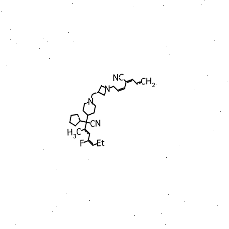 C=C/C=C(C#N)\C=C/CN1CC(CN2CCC(C(C#N)(/C(C)=C/C(F)=C\CC)C3CCCC3)CC2)C1